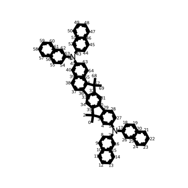 CC1(C)c2cc(N(c3ccc4ccccc4c3)c3ccc4ccccc4c3)ccc2-c2cc3c(cc21)-c1ccc2cc(N(c4ccc5ccccc5c4)c4ccc5ccccc5c4)ccc2c1C3(C)C